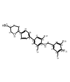 CCCCC1CCC(c2ccc(-c3cc(F)c(OCc4cc(F)c(F)c(F)c4)c(F)c3)cc2)OC1